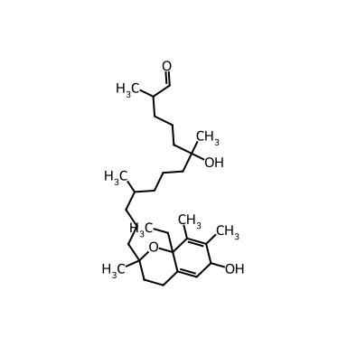 CCC12OC(C)(CCCC(C)CCCC(C)(O)CCCC(C)C=O)CCC1=CC(O)C(C)=C2C